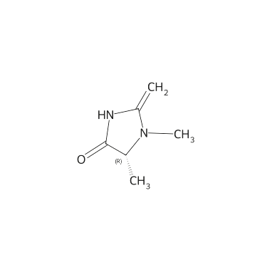 C=C1NC(=O)[C@@H](C)N1C